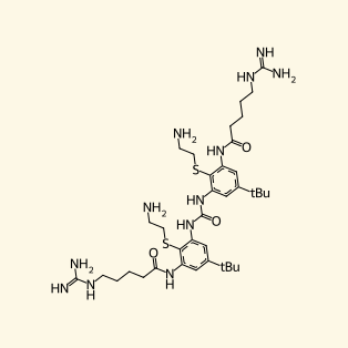 CC(C)(C)c1cc(NC(=O)CCCCNC(=N)N)c(SCCN)c(NC(=O)Nc2cc(C(C)(C)C)cc(NC(=O)CCCCNC(=N)N)c2SCCN)c1